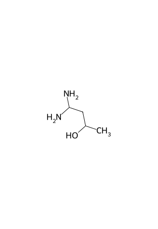 CC(O)CC(N)N